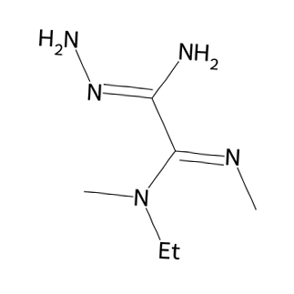 CCN(C)C(=N\C)/C(N)=N/N